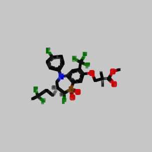 COC(=O)C(C)(C)COc1cc2c(cc1C(F)(F)F)N(c1ccc(F)cc1)C[C@@H](CCC(C)(F)F)[C@H](F)S2(=O)=O